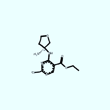 CCOC(=O)c1cnc(Cl)nc1N[C@@]1([SiH3])CCOC1